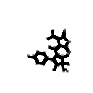 CC(C)=C1C(=O)OC(=O)C1=C(C)C1=C(C)[N+](C)(N)C(C)=C1c1ccc(C)cc1